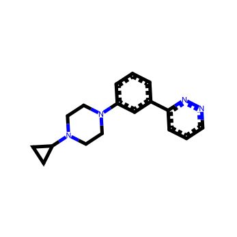 c1cc(-c2cccnn2)cc(N2CCN(C3CC3)CC2)c1